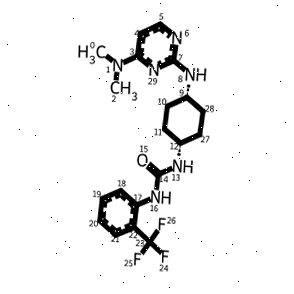 CN(C)c1ccnc(N[C@H]2CC[C@@H](NC(=O)Nc3ccccc3C(F)(F)F)CC2)n1